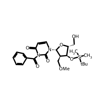 COC[C@@H]1[C@H](O[Si](C)(C)C(C)(C)C)[C@@H](CO)O[C@H]1n1ccc(=O)n(C(=O)c2ccccc2)c1=O